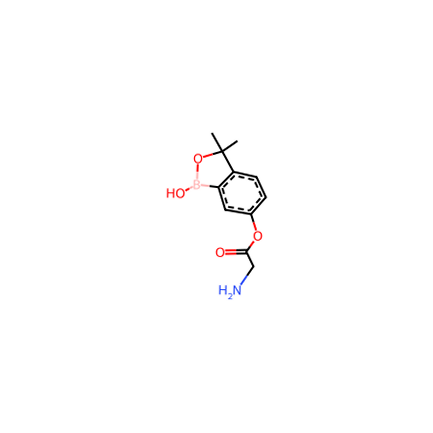 CC1(C)OB(O)c2cc(OC(=O)CN)ccc21